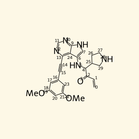 C=CC(=O)C(Nc1c[nH]c2ncnc(C#Cc3cc(OC)cc(OC)c3)c12)C1CCNC1